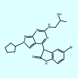 CC(O)CNc1nc(C2C(=O)Nc3ccc(Br)cc32)c2cn(C3CCCC3)nc2n1